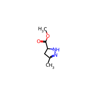 COC(=O)C1CC(C)=NN1